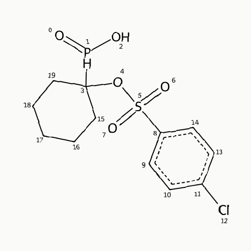 O=[PH](O)C1(OS(=O)(=O)c2ccc(Cl)cc2)CCCCC1